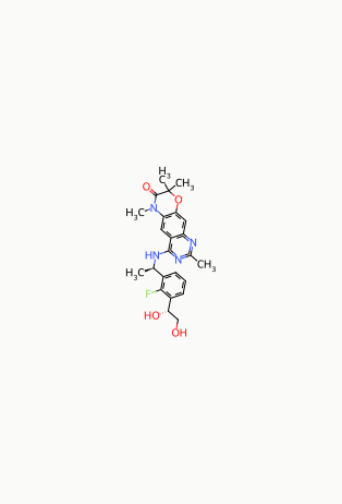 Cc1nc(N[C@H](C)c2cccc([C@@H](O)CO)c2F)c2cc3c(cc2n1)OC(C)(C)C(=O)N3C